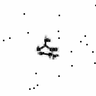 CC(C)[O-].CCCCC(CC)C(=O)[O-].[In+2]